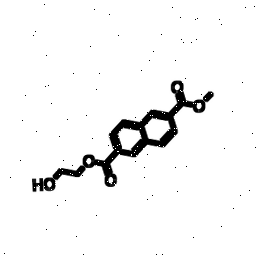 COC(=O)c1ccc2cc(C(=O)OCCO)ccc2c1